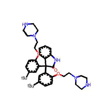 CC(C)(C)c1ccc(OCCN2CCNCC2)c(C2(c3cc(C(C)(C)C)ccc3OCCN3CCNCC3)C(=O)Nc3ccccc32)c1